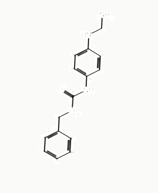 NCNc1ccc(NC(=O)OCc2ccccc2)cc1